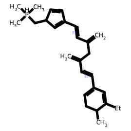 C=C(/C=C/C1=CCC(C)C(CC)=C1)CC(=C)/C=C/C1=CC(C[PH](C)(C)C)C=C1